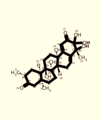 C[C@@H]1C[C@@H]2[C@@](C)(CC[C@]3(C)[C@H]4CC=C5C(=CC(=O)C(O)(O)[C@]5(C)O)[C@]4(C)CC[C@@]23C)CC1=O